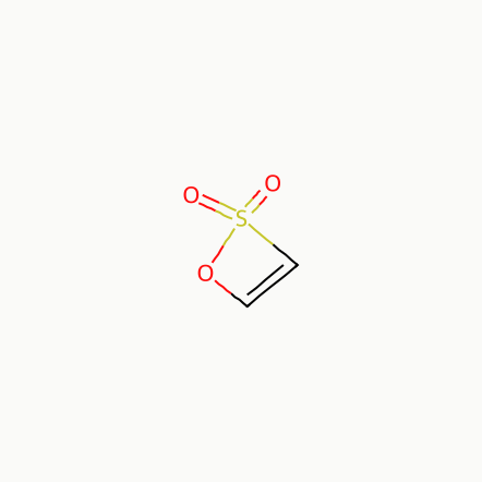 O=S1(=O)C=CO1